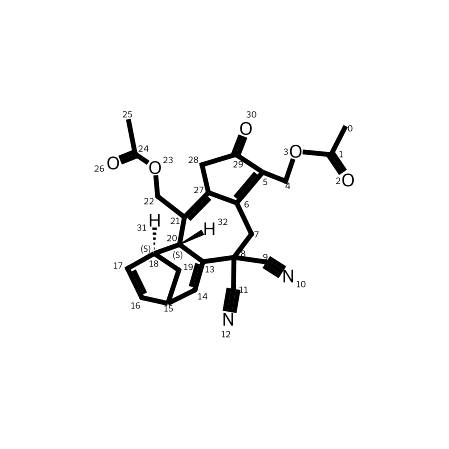 CC(=O)OCC1=C2CC(C#N)(C#N)C3=CC4C=C[C@H](C4)[C@@H]3C(COC(C)=O)=C2CC1=O